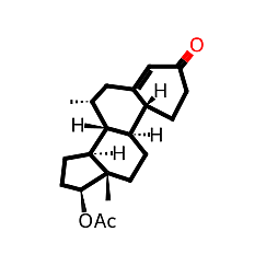 CC(=O)O[C@H]1CC[C@H]2[C@H]3[C@H](CC[C@]12C)[C@H]1CCC(=O)C=C1C[C@H]3C